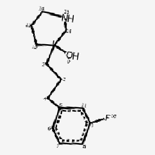 OC1(CCCc2cccc(F)c2)CCCNC1